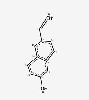 [CH]=Cc1ccc2cc(O)ccc2c1